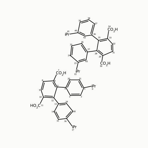 CC(C)c1ccc(-c2c(C(=O)O)ccc(C(=O)O)c2-c2ccc(C(C)C)cc2)cc1.CC(C)c1cccc(-c2c(C(=O)O)ccc(C(=O)O)c2-c2cccc(C(C)C)c2)c1